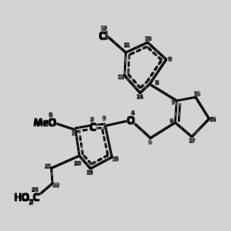 COc1cc(OCC2=C(c3ccc(Cl)cc3)CCC2)ccc1CCC(=O)O